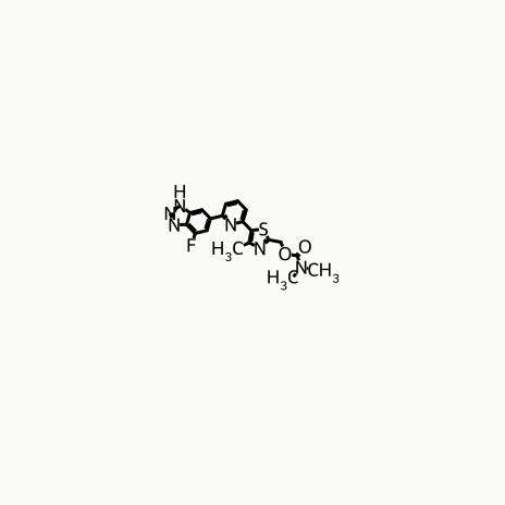 Cc1nc(COC(=O)N(C)C)sc1-c1cccc(-c2cc(F)c3nn[nH]c3c2)n1